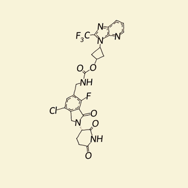 O=C1CC[C@H](N2Cc3c(Cl)cc(CNC(=O)OC4CC(n5c(C(F)(F)F)nc6cccnc65)C4)c(F)c3C2=O)C(=O)N1